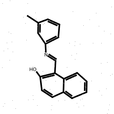 Cc1cccc(N=Cc2c(O)ccc3ccccc23)c1